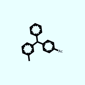 CC(=O)c1ccc(C(c2ccccc2)c2cccc(C)c2)cc1